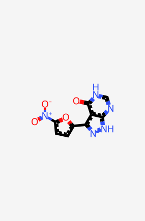 O=c1[nH]cnc2[nH]nc(-c3ccc([N+](=O)[O-])o3)c12